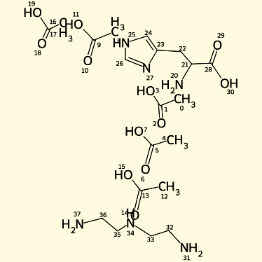 CC(=O)O.CC(=O)O.CC(=O)O.CC(=O)O.CC(=O)O.NC(Cc1c[nH]cn1)C(=O)O.NCCNCCN